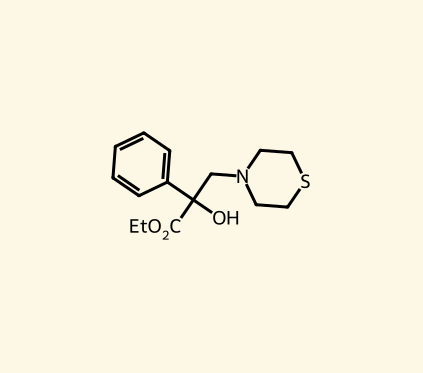 CCOC(=O)C(O)(CN1CCSCC1)c1ccccc1